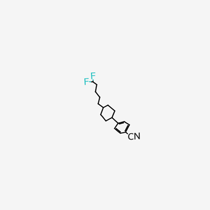 N#Cc1ccc(C2CCC(CCCCC(F)F)CC2)cc1